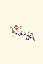 CC(CO[Si](C)(C)C(C)(C)C)(CO[Si](C)(C)C(C)(C)C)c1ncc(S(N)(=O)=N[Si](C)(C)C(C)(C)C)s1